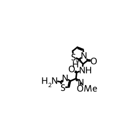 CON=C(C(=O)NC1C(=O)N2C=CCS[C@@H]12)c1csc(N)n1